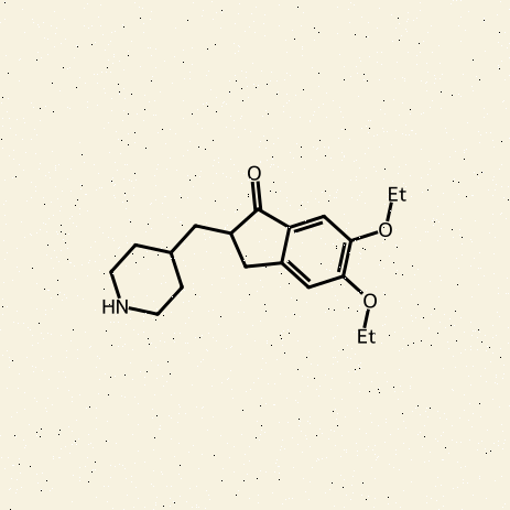 CCOc1cc2c(cc1OCC)C(=O)C(CC1CCNCC1)C2